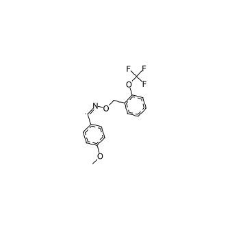 COc1ccc(/[C]=N\OCc2ccccc2OC(F)(F)F)cc1